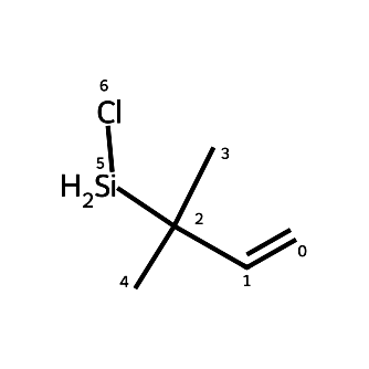 C=CC(C)(C)[SiH2]Cl